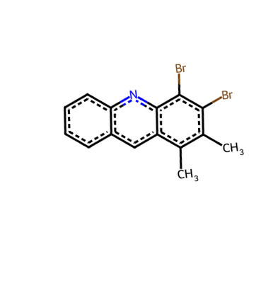 Cc1c(Br)c(Br)c2nc3ccccc3cc2c1C